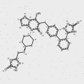 CCCc1c(Cc2ccc(-c3ccccc3-c3noc(=O)[nH]3)cc2)c(=O)n([C@H]2CC[C@H](OCc3n[nH]c(=O)o3)CC2)c2ncnn12